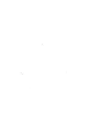 O=CC1N=CSc2c1cc(C(F)(F)F)cc2[N+](=O)[O-]